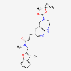 Cc1c(CN(C)C(=O)/C=C/c2cnc3c(c2)CN(C(=O)OC(C)(C)C)CCN3)oc2ccccc12